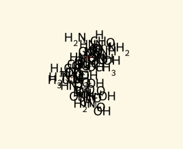 CC[C@H](C)[C@H](NC(=O)[C@H](CC(=O)O)NC(=O)[C@H](CCC(N)=O)NC(=O)[C@H](C)NC(=O)[C@H](CCCCN)NC(=O)[C@H](CC(=O)O)NC(=O)[C@H](CCC(=O)O)NC(=O)[C@H](CC(=O)O)NC(=O)[C@@H](NC(=O)[C@H](CC(N)=O)NC(=O)[C@@H](NC(=O)CNC(=O)[C@H](Cc1ccccc1)NC(=O)[C@H](CCC(=O)O)NC(=O)[C@H](CCC(=O)O)NC(=O)[C@@H](N)CCC(=O)O)[C@@H](C)CC)C(C)C)C(=O)O